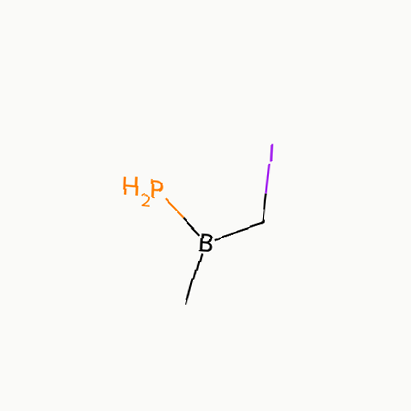 CB(P)CI